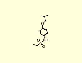 CCS(=O)(=O)Nc1c[c]c(OCC(C)C)cc1